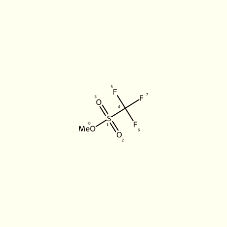 [CH2]OS(=O)(=O)C(F)(F)F